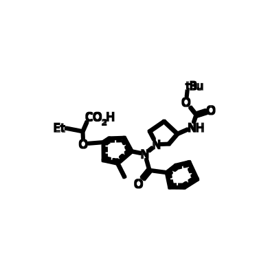 CCC(Oc1ccc(N(C(=O)c2ccccc2)N2CCC(NC(=O)OC(C)(C)C)C2)c(C)c1)C(=O)O